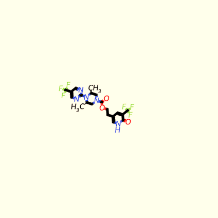 C[C@H]1CN(C(=O)OCCc2c[nH]c(=O)c(C(F)(F)F)c2)C[C@H](C)N1c1ncc(C(F)(F)F)cn1